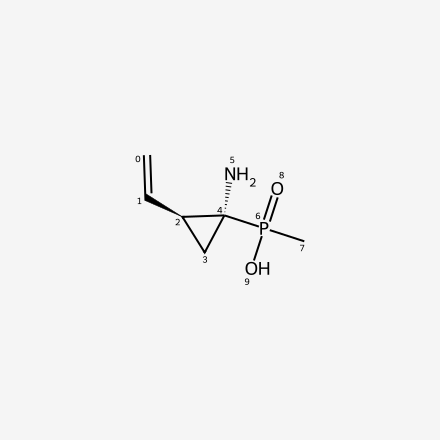 C=C[C@@H]1C[C@]1(N)P(C)(=O)O